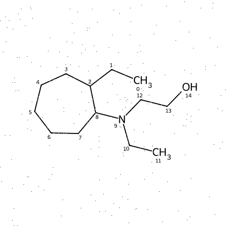 CCC1CCCCCC1N(CC)CCO